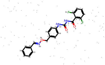 O=C(NC(=O)c1c(F)cccc1F)Nc1ccc(CO/N=C/c2ccccc2)cc1